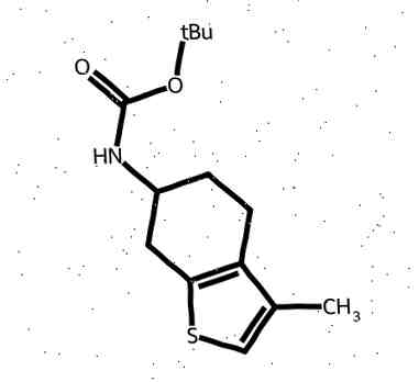 Cc1csc2c1CCC(NC(=O)OC(C)(C)C)C2